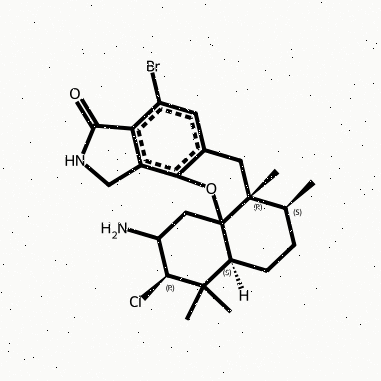 C[C@H]1CC[C@H]2C(C)(C)[C@@H](Cl)C(N)CC23Oc2c(cc(Br)c4c2CNC4=O)C[C@]13C